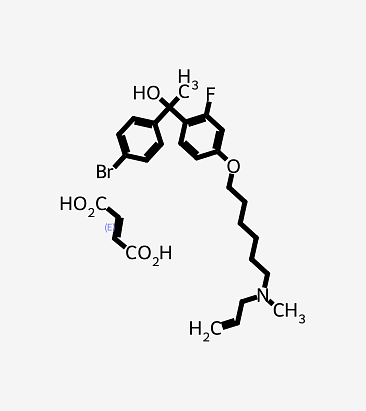 C=CCN(C)CCCCCCOc1ccc(C(C)(O)c2ccc(Br)cc2)c(F)c1.O=C(O)/C=C/C(=O)O